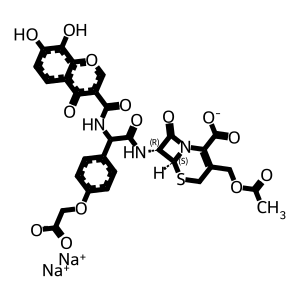 CC(=O)OCC1=C(C(=O)[O-])N2C(=O)[C@@H](NC(=O)C(NC(=O)c3coc4c(O)c(O)ccc4c3=O)c3ccc(OCC(=O)[O-])cc3)[C@@H]2SC1.[Na+].[Na+]